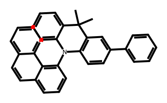 CC1(C)c2ccccc2N(c2cccc3ccc4cccnc4c23)c2ccc(-c3ccccc3)cc21